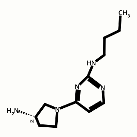 CCCCNc1nccc(N2CC[C@H](N)C2)n1